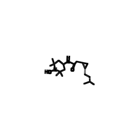 CC(C)CCC1CC1CC(=O)NC1CC(C)(C)N(O)C(C)(C)C1